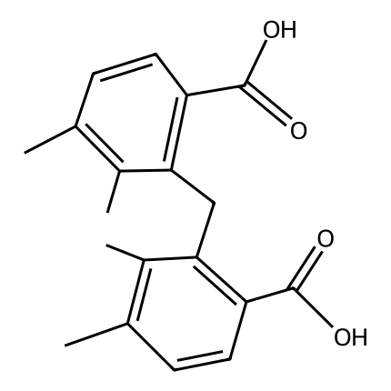 Cc1ccc(C(=O)O)c(Cc2c(C(=O)O)ccc(C)c2C)c1C